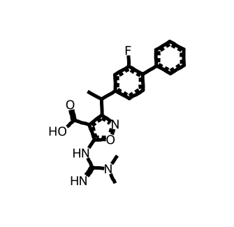 CC(c1ccc(-c2ccccc2)c(F)c1)c1noc(NC(=N)N(C)C)c1C(=O)O